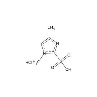 Cc1cn(C)c(S(=O)(=O)O)n1.Cl